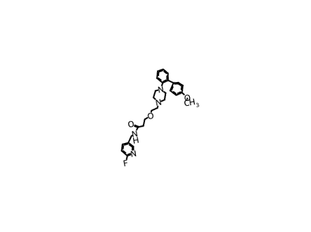 COc1ccc(-c2ccccc2N2CCN(CCOCCC(=O)NCc3ccc(F)nc3)CC2)cc1